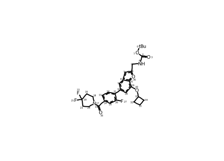 CC(C)(C)OC(=O)NCc1cc2cc(-c3ccc(C(=O)N4CCC(F)(F)CC4)cc3F)cc(OC3CCC3)c2o1